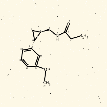 CCC(=O)NC[C@@H]1C[C@H]1c1cccc(OC)c1